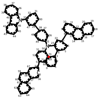 c1ccc(-c2ccc(-c3cccc4c3ccc3ccccc34)cc2N(c2ccc(-c3cccc(-n4c5ccccc5c5ccccc54)c3)cc2)c2ccc(-c3ccc4c(ccc5ccccc54)c3)cc2)cc1